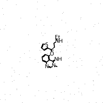 CCNCC[C@@H](Oc1cccc2ncn(C)c(=N)c12)c1cccs1